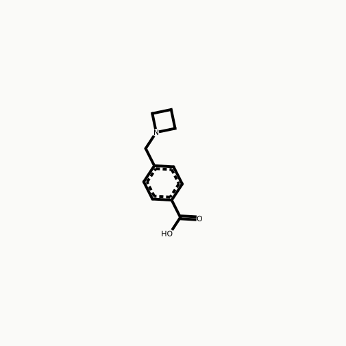 O=C(O)c1ccc(CN2CCC2)cc1